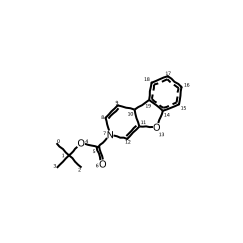 CC(C)(C)OC(=O)N1C=CC2C(=C1)Oc1ccccc12